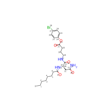 CCCCCCCC(=O)N[C@H](CC(N)=O)C(=O)NCCCC(=O)Oc1ccc(Br)cc1